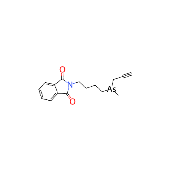 C#CC[As](C)CCCCN1C(=O)c2ccccc2C1=O